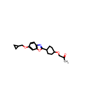 CC(=O)COC1CCC(c2nc3ccc(OCC4CC4)cc3o2)CC1